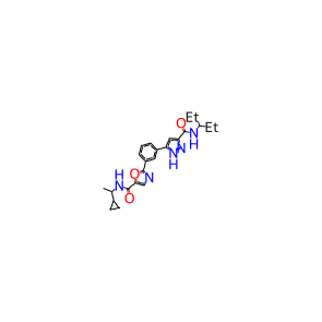 CCC(CC)NC(=O)c1cc(-c2cccc(-c3ncc(C(=O)NC(C)C4CC4)o3)c2)[nH]n1